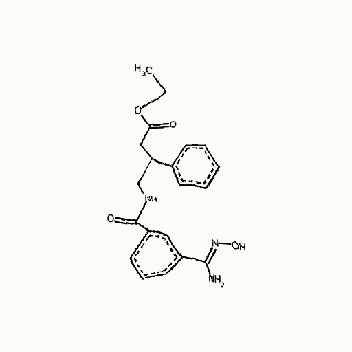 CCOC(=O)CC(CNC(=O)c1cccc(C(N)=NO)c1)c1ccccc1